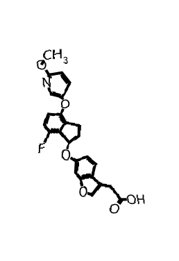 COc1ccc(Oc2ccc(F)c3c2CC[C@H]3Oc2ccc3c(c2)OCC3CC(=O)O)cn1